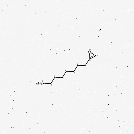 CCCCCCCCCCCCCC1=CO1